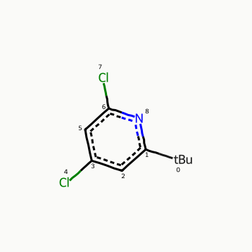 CC(C)(C)c1cc(Cl)cc(Cl)n1